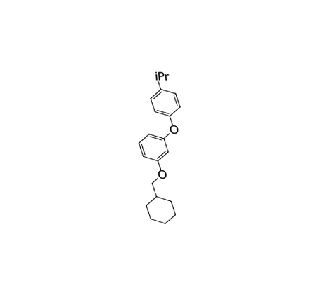 CC(C)c1ccc(Oc2cccc(OCC3CCCCC3)c2)cc1